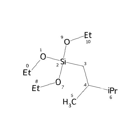 CCO[Si](CC(C)C(C)C)(OCC)OCC